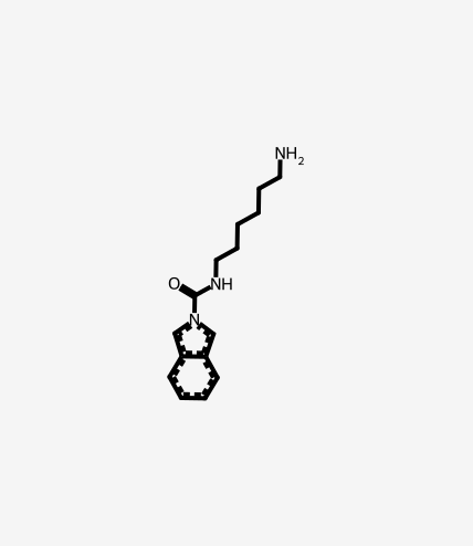 NCCCCCCNC(=O)n1cc2ccccc2c1